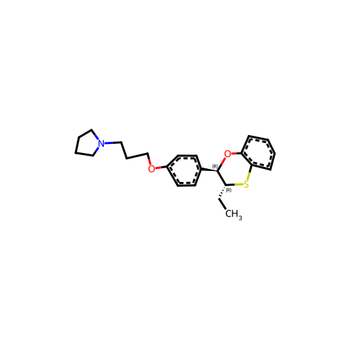 CC[C@H]1Sc2ccccc2O[C@@H]1c1ccc(OCCCN2CCCC2)cc1